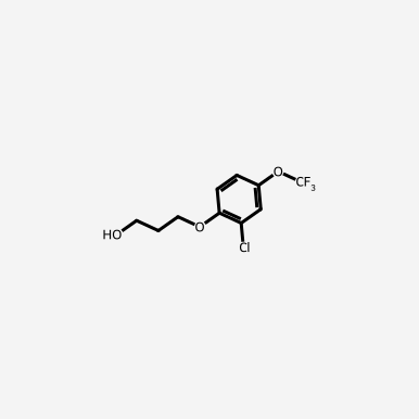 OCCCOc1ccc(OC(F)(F)F)cc1Cl